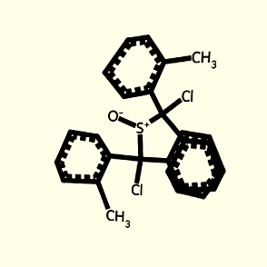 Cc1ccccc1C(Cl)(c1ccccc1)[S+]([O-])C(Cl)(c1ccccc1)c1ccccc1C